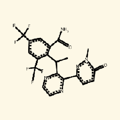 CC(c1nccnc1-c1ccc(=O)n(C)n1)c1c(C(N)=O)cc(C(F)(F)F)cc1C(F)(F)F